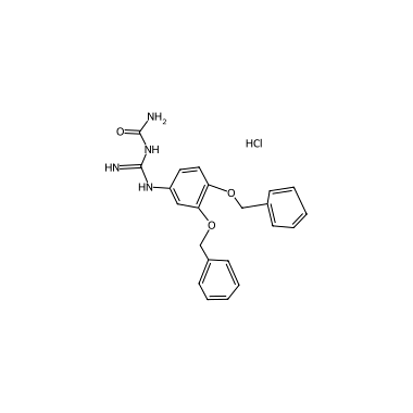 Cl.N=C(NC(N)=O)Nc1ccc(OCc2ccccc2)c(OCc2ccccc2)c1